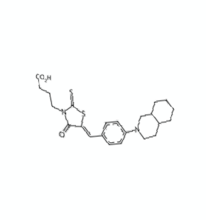 O=C(O)CCCN1C(=O)C(=Cc2ccc(N3CCC4CCCCC4C3)cc2)SC1=S